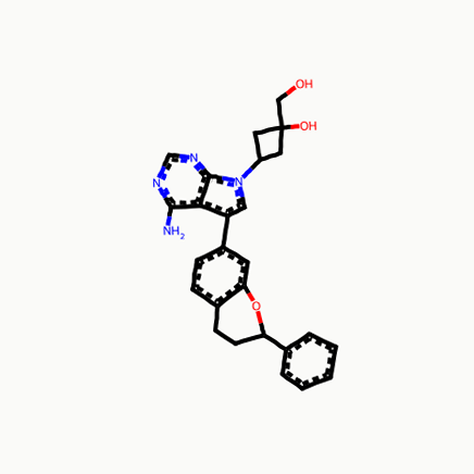 Nc1ncnc2c1c(-c1ccc3c(c1)OC(c1ccccc1)CC3)cn2C1CC(O)(CO)C1